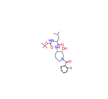 CC(C)CC(NC(=O)OC(C)(C)C)C(=O)NC1CCCN(C(=O)c2ccccc2I)CC1O